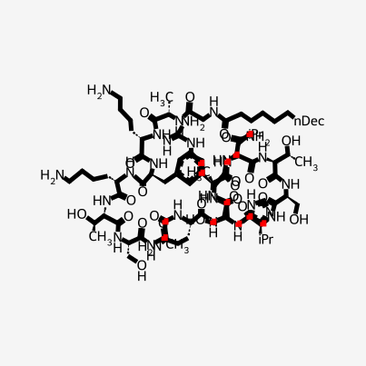 CCCCCCCCCCCCCCCC(=O)NCC(=O)N[C@@H](C)C(=O)N[C@@H](CCCCN)C(=O)N[C@@H](Cc1ccccc1)C(=O)N[C@@H](CCCCN)C(=O)N[C@H](C(=O)N[C@@H](CO)C(=O)N[C@@H](C)C(=O)N[C@@H](CCC(N)=O)C(=O)N[C@@H](Cc1cnc[nH]1)C(=O)N[C@@H](C)C(=O)N[C@@H](CC(C)C)C(=O)N[C@H](C(=O)N[C@@H](CO)C(=O)N[C@H](C(=O)N[C@@H](CO)C(=O)N[C@@H](CCCNC(=N)N)C(=O)NCC(N)=O)C(C)C)[C@@H](C)O)[C@@H](C)O